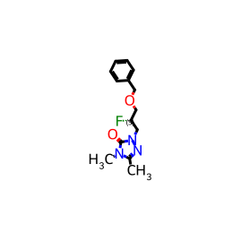 Cc1nn(C[C@H](F)COCc2ccccc2)c(=O)n1C